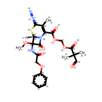 COC1(NC(=O)COc2ccccc2)C(=O)N2C(C(=O)OCOC(=O)C(C)(C)C=O)=C(C)C(=[N+]=[N-])S[C@H]21